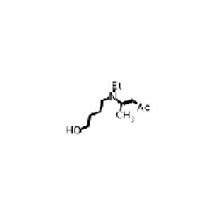 CCN(CCCCO)C(C)=CC(C)=O